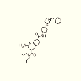 CCCN(CCC)C(=O)C1=Cc2ccc(C(=O)Nc3ccc([C@@H]4CCN(Cc5ccccc5)C4)cc3)cc2N=C(N)C1